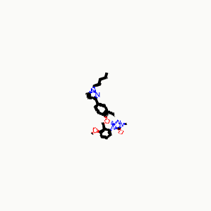 CCCCCn1ccc(-c2ccc(OCc3c(OC)cccc3-n3nnn(C)c3=O)c(C)c2)n1